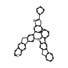 c1ccc(C2=Nc3cc(-c4cc5c(cc4-n4c6ccccc6c6cc7c(cc64)Cc4ccccc4-7)-c4cc6ccccc6cc4C5)ccc3C2)cc1